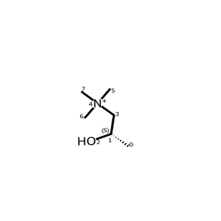 C[C@H](O)C[N+](C)(C)C